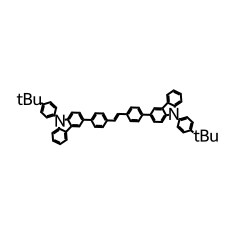 CC(C)(C)c1ccc(-n2c3ccccc3c3cc(-c4ccc(/C=C/c5ccc(-c6ccc7c(c6)c6ccccc6n7-c6ccc(C(C)(C)C)cc6)cc5)cc4)ccc32)cc1